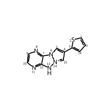 c1csc(-c2cn3c4nccnc4[nH][n+]3c2)c1